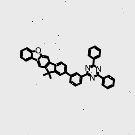 CC1(C)c2cc(-c3cccc(-c4nc(-c5ccccc5)nc(-c5ccccc5)n4)c3)ccc2-c2cc3oc4ccccc4c3cc21